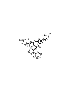 C=C1c2oc(-c3ccc(I)cc3)cc2Cc2cc(N3CCN(C)CC3)ccc2N1Cc1ccccc1-c1cccnc1